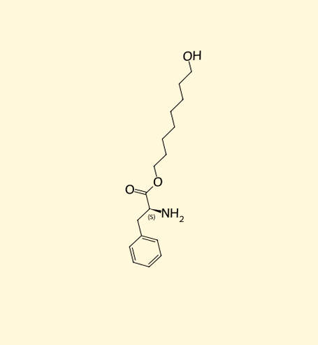 N[C@@H](Cc1ccccc1)C(=O)OCCCCCCCCO